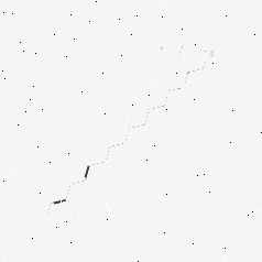 CCCCCC=CCC=CCCCCCCCCOC(CN)OCCCCCC